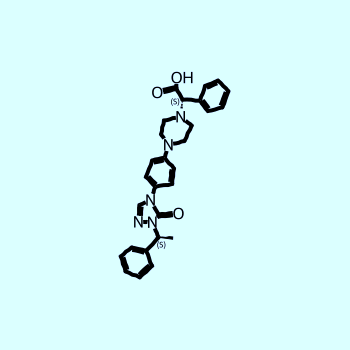 C[C@@H](c1ccccc1)n1ncn(-c2ccc(N3CCN([C@H](C(=O)O)c4ccccc4)CC3)cc2)c1=O